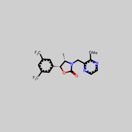 COc1nccnc1CN1C(=O)O[C@H](c2cc(C(F)(F)F)cc(C(F)(F)F)c2)[C@@H]1C